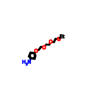 CCOCCOCCOCCOc1ccc(N)cc1